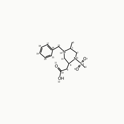 CC1CN(S(C)(=O)=O)C(CC(=O)O)CN1Cc1ccccc1